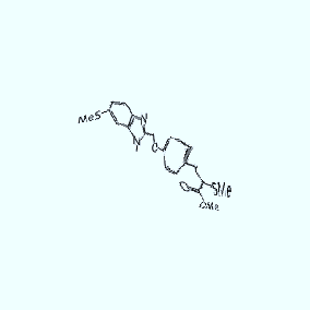 COC(=O)C(Cc1ccc(OCc2nc3ccc(SC)cc3n2C)cc1)SC